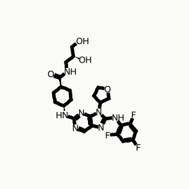 O=C(NC[C@@H](O)CO)[C@H]1CC[C@H](Nc2ncc3nc(Nc4c(F)cc(F)cc4F)n(C4CCOC4)c3n2)CC1